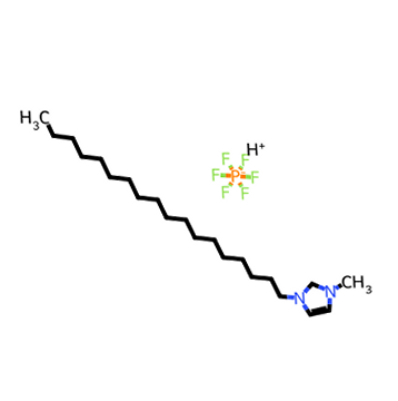 CCCCCCCCCCCCCCCCCCN1C=CN(C)C1.F[P-](F)(F)(F)(F)F.[H+]